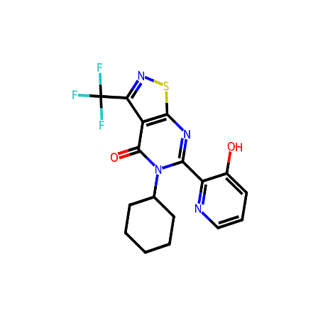 O=c1c2c(C(F)(F)F)nsc2nc(-c2ncccc2O)n1C1CCCCC1